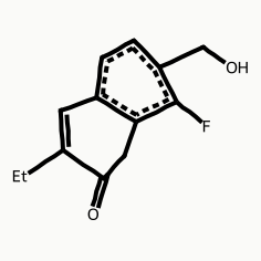 CCC1=Cc2ccc(CO)c(F)c2CC1=O